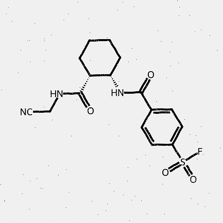 N#CCNC(=O)[C@@H]1CCCC[C@@H]1NC(=O)c1ccc(S(=O)(=O)F)cc1